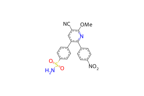 COc1nc(-c2ccc([N+](=O)[O-])cc2)c(-c2ccc(S(N)(=O)=O)cc2)cc1C#N